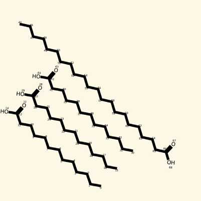 CCCCCCCCCCCCC(=O)O.CCCCCCCCCCCCC(=O)O.CCCCCCCCCCCCC(=O)O.CCCCCCCCCCCCCCCCCCCCCC(=O)O